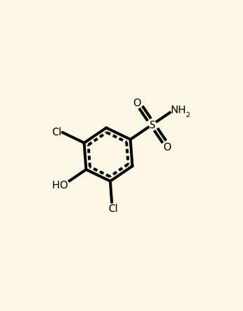 NS(=O)(=O)c1cc(Cl)c(O)c(Cl)c1